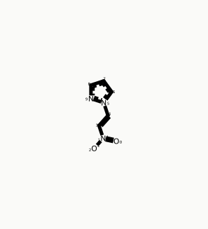 O=[N+]([O-])/C=C/n1cccn1